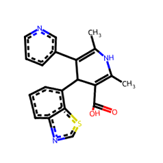 CC1=C(C(=O)O)C(c2cccc3ncsc23)C(c2cccnc2)=C(C)N1